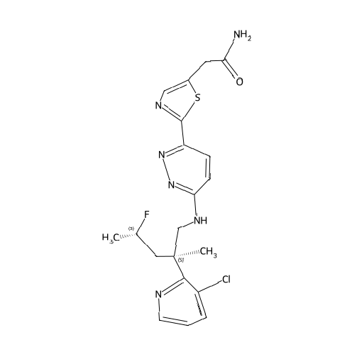 C[C@H](F)C[C@@](C)(CNc1ccc(-c2ncc(CC(N)=O)s2)nn1)c1ncccc1Cl